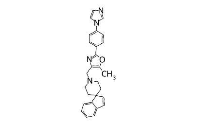 Cc1oc(-c2ccc(-n3ccnc3)cc2)nc1CN1CCC2(C=Cc3ccccc32)CC1